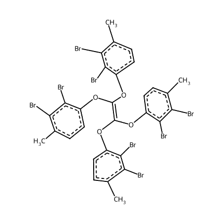 Cc1ccc(OC(Oc2ccc(C)c(Br)c2Br)=C(Oc2ccc(C)c(Br)c2Br)Oc2ccc(C)c(Br)c2Br)c(Br)c1Br